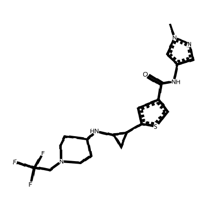 Cn1cc(NC(=O)c2csc(C3CC3NC3CCN(CC(F)(F)F)CC3)c2)cn1